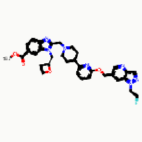 CC(C)(C)OC(=O)c1ccc2nc(CN3CCC(c4cccc(OCc5cnc6cnn(CCF)c6c5)n4)CC3)n(C[C@@H]3CCO3)c2c1